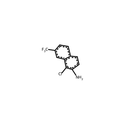 Nc1ccc2ccc(C(F)(F)F)cc2c1Cl